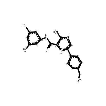 Nc1ncc(-c2ccc(CO)cc2)nc1C(=O)Nc1cc(O)cc(O)c1